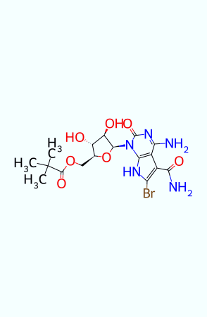 CC(C)(C)C(=O)OC[C@@H]1O[C@H](n2c(=O)nc(N)c3c(C(N)=O)c(Br)[nH]c32)[C@H](O)[C@H]1O